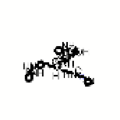 NC(=O)C1(NC(=O)[C@@H](CCCC(=O)O)NC(=O)[C@@H](CCCCNC(=O)/C=C/c2cccnc2)NC(=O)CCc2ccc(Nc3nc4ccccc4[nH]3)cc2)CCCCC1